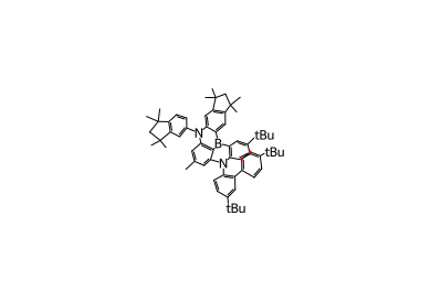 Cc1cc2c3c(c1)N(c1ccc(C(C)(C)C)cc1-c1ccc(C(C)(C)C)cc1)c1ccc(C(C)(C)C)cc1B3c1cc3c(cc1N2c1ccc2c(c1)C(C)(C)CC2(C)C)C(C)(C)CC3(C)C